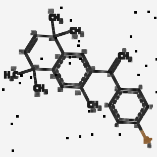 C=C(c1ccc(Br)cc1)c1cc2c(cc1C)C(C)(C)C=CC2(C)C